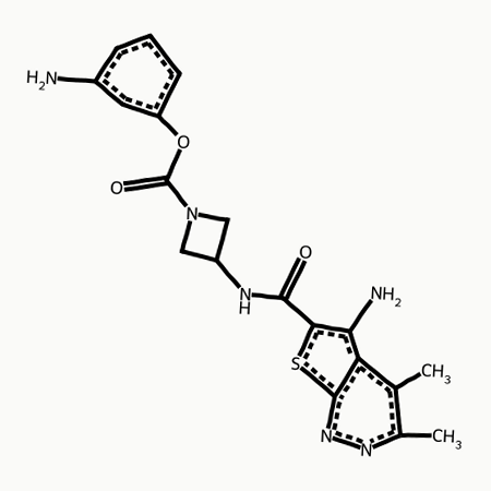 Cc1nnc2sc(C(=O)NC3CN(C(=O)Oc4cccc(N)c4)C3)c(N)c2c1C